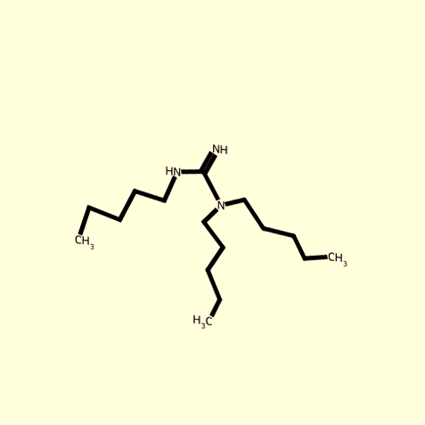 CCCCCNC(=N)N(CCCCC)CCCCC